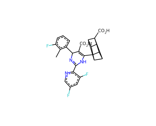 CCOC(=O)C1=C(C23C4C5C2C2C3C4C52C(=O)O)NC(c2ncc(F)cc2F)=NC1c1cccc(F)c1C